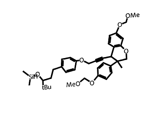 COCOc1ccc(C2(C)COc3cc(OCOC)ccc3C2C#CCOc2ccc(CCC(O[SiH](C)C)C(C)(C)C)cc2)cc1